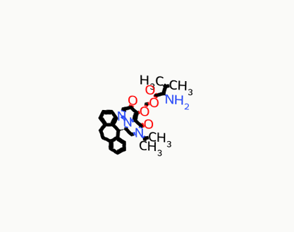 CC(C)[C@H](N)C(=O)OCOc1c2n(ncc1=O)[C@@H](C1c3ccccc3CCc3ccccc31)CN(C(C)C)C2=O